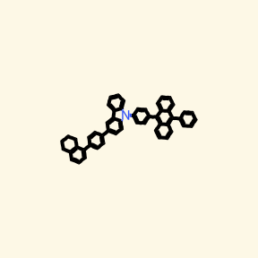 c1ccc(-c2c3ccccc3c(-c3ccc(-n4c5ccccc5c5cc(-c6ccc(-c7cccc8c7CCCC8)cc6)ccc54)cc3)c3ccccc23)cc1